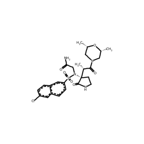 C[C@@H]1CN(C(=O)[C@@H](C)[C@@]2(N(CC(N)=O)S(=O)(=O)c3ccc4cc(Cl)ccc4c3)CCNC2=O)C[C@H](C)O1